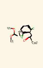 CCCC.CCOC(C)OCC.O=CC(=O)Cc1c(Cl)cccc1Cl